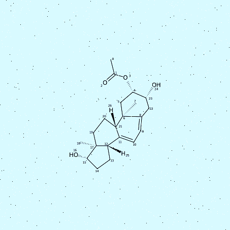 CC(=O)O[C@H]1C[C@@]2(C)C(=CC=C3[C@@H]4CC[C@H](O)[C@@]4(C)CC[C@@H]32)C[C@H]1O